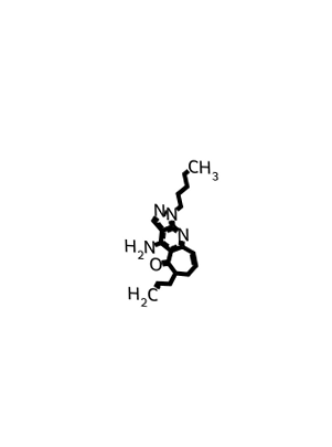 C=CCC1CC=Cc2nc3c(cnn3CCCCC)c(N)c2C1=O